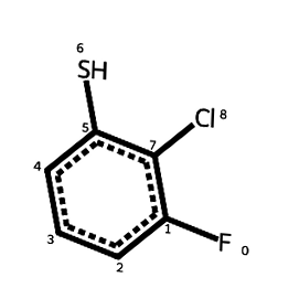 Fc1cccc(S)c1Cl